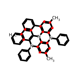 Cc1ccc(N(c2ccc(C)cc2N(c2ccccc2)c2ccccc2)c2ccc(C)cc2N(c2ccccc2)c2ccccc2)c(-c2cccc(-c3ccccc3)c2)c1